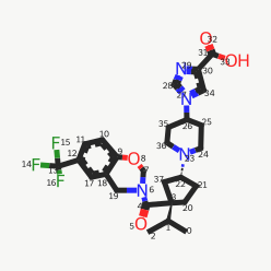 CC(C)[C@]1(C(=O)N2COc3ccc(C(F)(F)F)cc3C2)CC[C@@H](N2CCC(n3cnc(C(=O)O)c3)CC2)C1